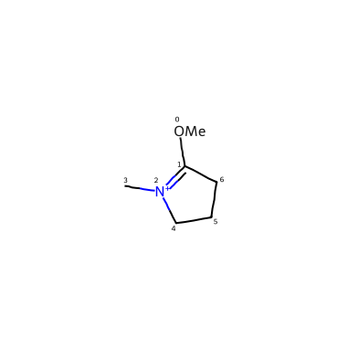 COC1=[N+](C)CCC1